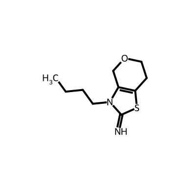 CCCCn1c2c(sc1=N)CCOC2